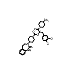 NC1CCN(C(=O)[C@@H](Cc2ccc(Cl)c(Cl)c2)OC(=O)N2CCC(N3CCc4ccccc4NC3=O)CC2)CC1